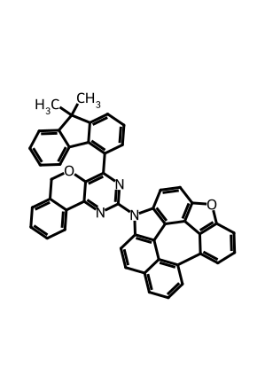 CC1(C)c2ccccc2-c2c(-c3nc(-n4c5ccc6cccc7c6c5c5c6c(ccc54)oc4cccc-7c46)nc4c3OCc3ccccc3-4)cccc21